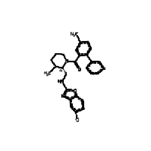 Cc1ccc(-c2cccnc2)c(C(=O)N2CCCC(C)[C@H]2CNc2nc3cc(Cl)ccc3o2)c1